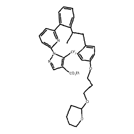 CCOC(=O)c1cnn(-c2cccc(-c3ccccc3C(C)Cc3ccc(OCCCOC4CCCCO4)cc3)n2)c1C(F)(F)F